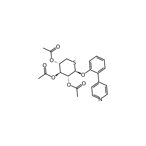 CC(=O)O[C@@H]1[C@@H](OC(C)=O)[C@H](OC(C)=O)CS[C@H]1Oc1ccccc1-c1ccncc1